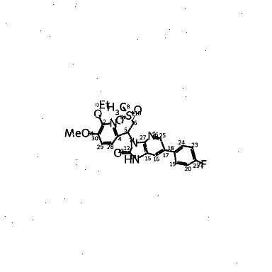 CCOc1nc(C(CS(C)(=O)=O)n2c(=O)[nH]c3cc(-c4ccc(F)cc4)cnc32)ccc1OC